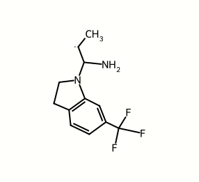 C[CH]C(N)N1CCc2ccc(C(F)(F)F)cc21